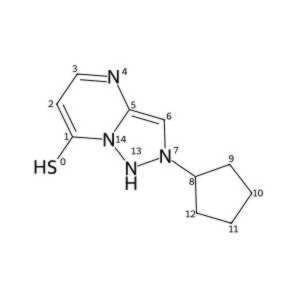 SC1=CC=NC2=CN(C3CCCC3)NN12